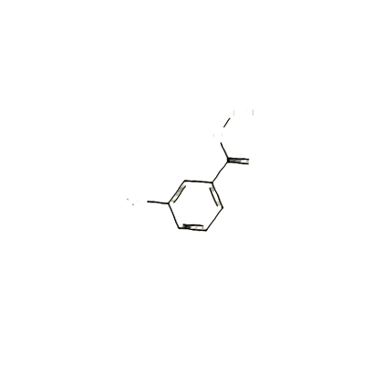 CC(C)(C)OC(=O)c1cccc(C#N)c1